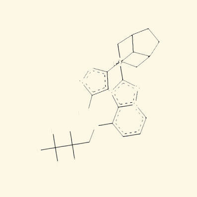 Cc1cc(N2CC3CCC(C2)C3Nc2nc3c(OCC(F)(F)C(F)(F)F)cccn3n2)sn1